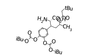 CCC(C)OC(=O)Oc1ccc(C(CC(C)OC(=O)CC(C)(C)C)[C@H](N)C(=O)O)cc1OC(=O)OC(C)CC